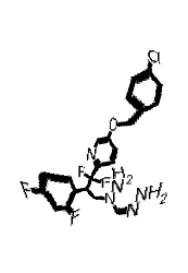 N/N=C\N(N)CC(c1ccc(F)cc1F)C(F)(F)c1ccc(OCc2ccc(Cl)cc2)cn1